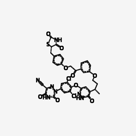 CC(CCOc1cccc(C(=O)COc2ccc(CC3SC(=O)NC3=O)cc2)c1)c1cc(Oc2c(Cl)cc(-n3nc(C#N)c(=O)[nH]c3=O)cc2Cl)n[nH]c1=O